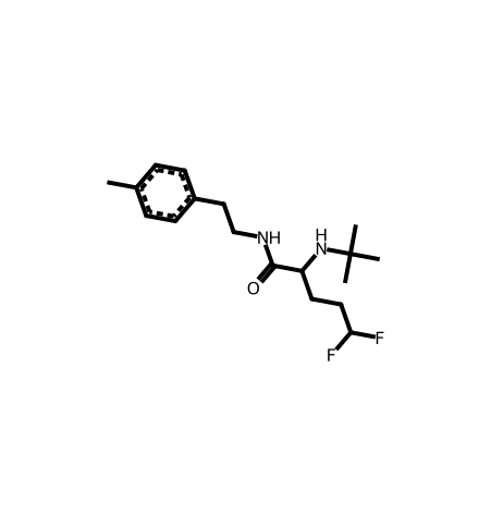 Cc1ccc(CCNC(=O)C(CCC(F)F)NC(C)(C)C)cc1